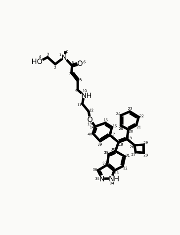 CN(CCO)C(=O)/C=C/CNCCOc1ccc(/C(=C(\c2ccccc2)C2CCC2)c2ccc3[nH]ncc3c2)cc1